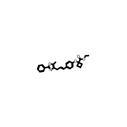 CCOC(=O)C1(Oc2ccc(C=CCc3nc(-c4ccccc4)oc3C)cc2)CCC1